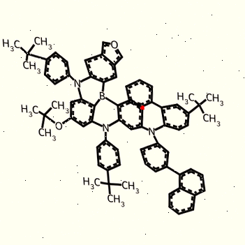 CC(C)(C)Oc1cc2c3c(c1)N(c1ccc(C(C)(C)C)cc1)c1cc4cocc4cc1B3c1ccc(N(c3cccc(-c4cccc5ccccc45)c3)c3ccc(C(C)(C)C)cc3-c3ccccc3)cc1N2c1ccc(C(C)(C)C)cc1